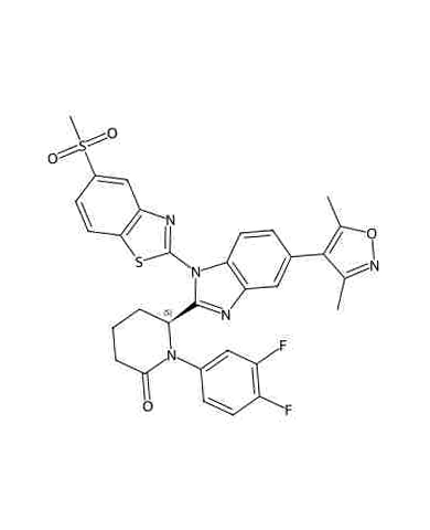 Cc1noc(C)c1-c1ccc2c(c1)nc([C@@H]1CCCC(=O)N1c1ccc(F)c(F)c1)n2-c1nc2cc(S(C)(=O)=O)ccc2s1